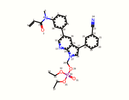 C=CC(=O)N(C)c1cccc(-c2cnc3c(c2)c(-c2cccc(C#N)c2)cn3COP(=O)(OCC)OCC)c1